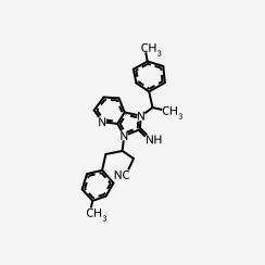 Cc1ccc(CC(CC#N)n2c(=N)n(C(C)c3ccc(C)cc3)c3cccnc32)cc1